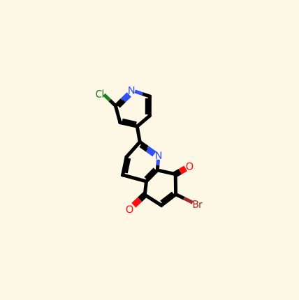 O=C1C=C(Br)C(=O)c2nc(-c3ccnc(Cl)c3)ccc21